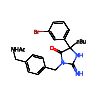 CCCCC1(c2cccc(Br)c2)NC(=N)N(Cc2ccc(CNC(C)=O)cc2)C1=O